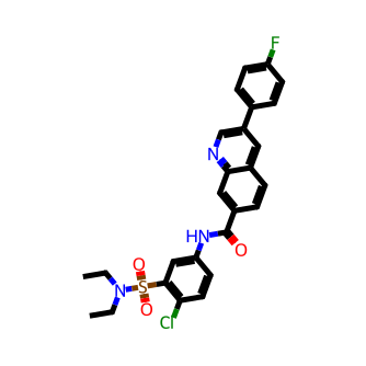 CCN(CC)S(=O)(=O)c1cc(NC(=O)c2ccc3cc(-c4ccc(F)cc4)cnc3c2)ccc1Cl